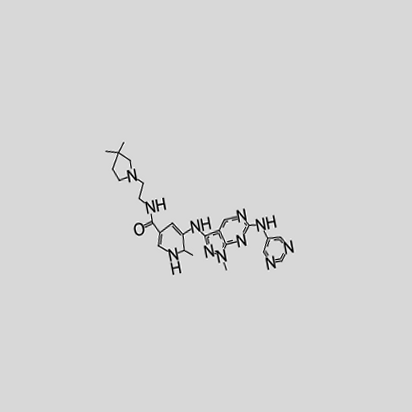 CC1NC=C(C(=O)NCCN2CCC(C)(C)C2)C=C1Nc1nn(C)c2nc(Nc3cncnc3)ncc12